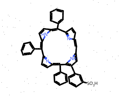 O=S(=O)(O)c1cccc(-c2cc3cc4nc(c(-c5ccccc5)c5ccc([nH]5)c(-c5ccccc5)c5nc(c(-c6ccccc6)c2[nH]3)C=C5)C=C4)c1